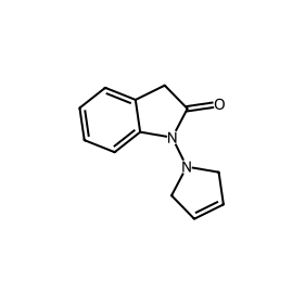 O=C1Cc2ccccc2N1N1CC=CC1